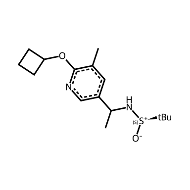 Cc1cc(C(C)N[S@+]([O-])C(C)(C)C)cnc1OC1CCC1